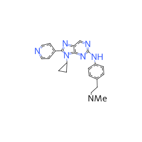 CNCCc1ccc(Nc2ncc3nc(-c4ccncc4)n(C4CC4)c3n2)cc1